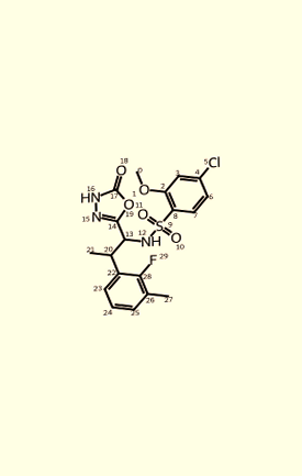 COc1cc(Cl)ccc1S(=O)(=O)NC(c1n[nH]c(=O)o1)C(C)c1cccc(C)c1F